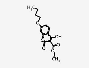 CCCCOc1ccc2c(O)c(C(=O)OCC)c(=O)sc2c1